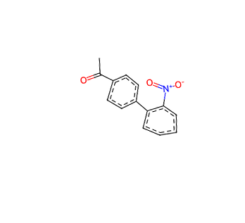 CC(=O)c1ccc(-c2ccccc2[N+](=O)[O-])cc1